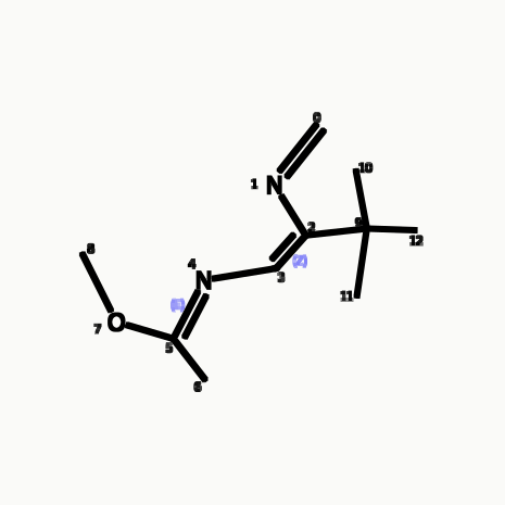 C=N/C(=C\N=C(/C)OC)C(C)(C)C